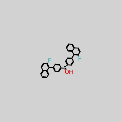 OB(c1ccc(-c2c(F)ccc3ccccc23)cc1)c1ccc(-c2c(F)ccc3ccccc23)cc1